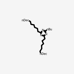 [CH2]CCCc1nc(CCCCCCCCCCCCCCCC)nc(CCCCCCCCCCCCCCCC)n1